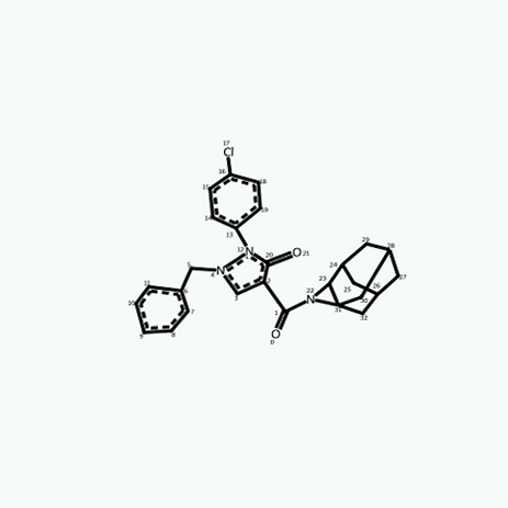 O=C(c1cn(Cc2ccccc2)n(-c2ccc(Cl)cc2)c1=O)N1C2C3CC4CC(C3)CC21C4